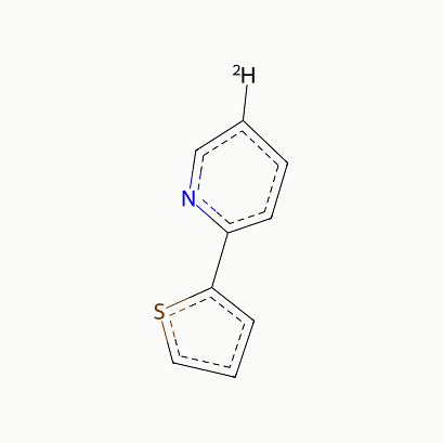 [2H]c1ccc(-c2cccs2)nc1